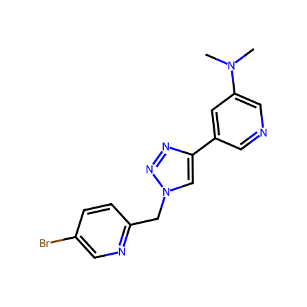 CN(C)c1cncc(-c2cn(Cc3ccc(Br)cn3)nn2)c1